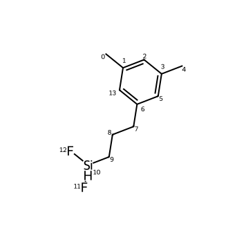 Cc1cc(C)cc(CCC[SiH](F)F)c1